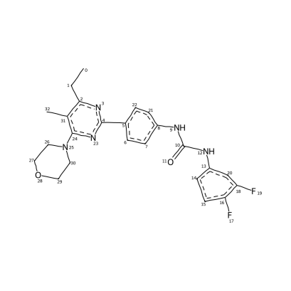 CCc1nc(-c2ccc(NC(=O)Nc3ccc(F)c(F)c3)cc2)nc(N2CCOCC2)c1C